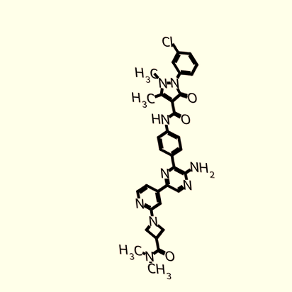 Cc1c(C(=O)Nc2ccc(-c3nc(-c4ccnc(N5CC(C(=O)N(C)C)C5)c4)cnc3N)cc2)c(=O)n(-c2cccc(Cl)c2)n1C